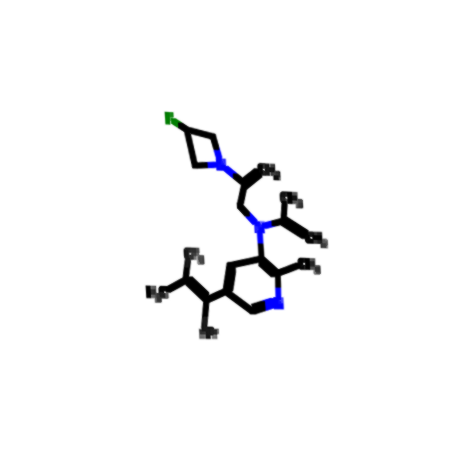 C=C(CN(C(=C)C)c1cc(/C(CCC)=C(/C)C(F)(F)F)cnc1C)N1CC(F)C1